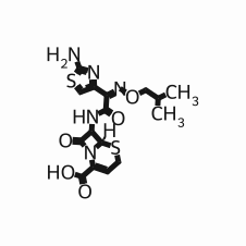 CC(C)CO/N=C(\C(=O)NC1C(=O)N2C(C(=O)O)=CCS[C@H]12)c1csc(N)n1